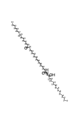 CCCCCCCCCCCCCCCCC(O)CNC(=O)CCCCCCCCCCCCCCCC(=O)CCCCCCCCCCCCCCC